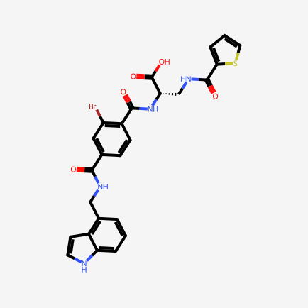 O=C(NCc1cccc2[nH]ccc12)c1ccc(C(=O)N[C@@H](CNC(=O)c2cccs2)C(=O)O)c(Br)c1